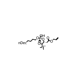 C=CCOC(=O)C[C@@H](OP(=O)(O)OCCCCCCCCCCCCCC)C([O-])[N+](C)(C)C